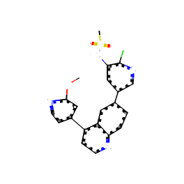 COc1cc(-c2ccnc3ccc(-c4cnc(Cl)c(NS(C)(=O)=O)c4)cc23)ccn1